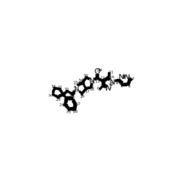 Cc1nn(-c2cccnn2)c(C)c1C(=O)N1CC2CN(CCC3(c4ccccc4)CCCC3)CC2C1